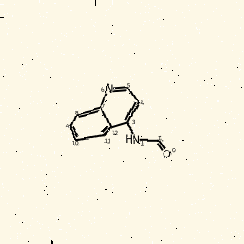 O=[C]Nc1ccnc2ccccc12